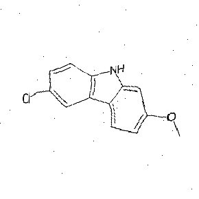 COc1ccc2c(c1)[nH]c1ccc(Cl)cc12